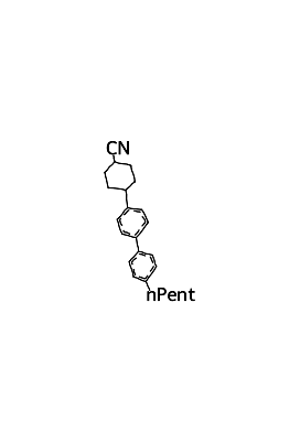 CCCCCc1ccc(-c2ccc(C3CCC(C#N)CC3)cc2)cc1